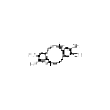 CC1(C)CCCc2cc(O)c(O)cc2C(C)(C)CCCc2cc(O)c(O)cc21